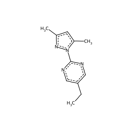 CCc1cnc(-n2nc(C)cc2C)nc1